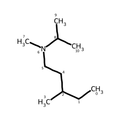 CCC(C)CCN(C)C(C)C